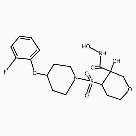 O=C(NO)C1(O)COCCC1S(=O)(=O)N1CCC(Oc2ccccc2F)CC1